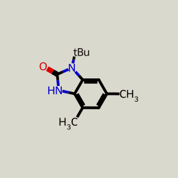 Cc1cc(C)c2[nH]c(=O)n(C(C)(C)C)c2c1